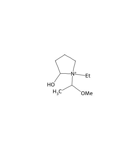 CC[N+]1(C(C)OC)CCCC1O